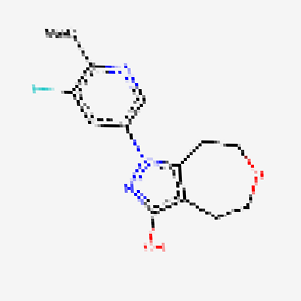 COc1ncc(-n2nc(O)c3c2CCOCC3)cc1F